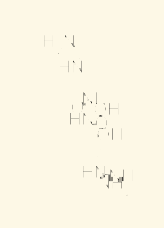 N=C(N)NCCCCC(O)CC(=O)NC(O)C(=O)NCCCCNCCCN